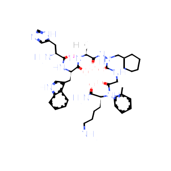 C[C@H](NC(=O)[C@@H](Cc1c[nH]c2ccccc12)NC(=O)[C@@H](N)Cc1cnc[nH]1)C(=O)NN(CC1CCCCC1)C(=O)N[C@H](Cc1ccccc1)C(=O)N[C@@H](CCCCN)C(N)=O